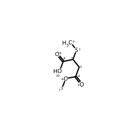 CSC(CC(=O)OI)C(=O)O